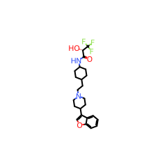 O=C(NC1CCC(CCN2CCC(c3coc4ccccc34)CC2)CC1)[C@H](O)C(F)(F)F